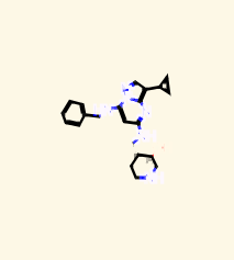 O[C@H]1CNCC[C@@H]1CNc1cc(NCc2ccccc2)n2ncc(C3CC3)c2n1